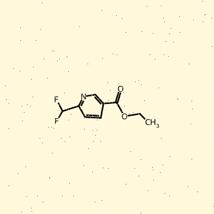 CCOC(=O)c1ccc(C(F)F)nc1